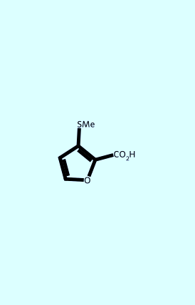 CSc1ccoc1C(=O)O